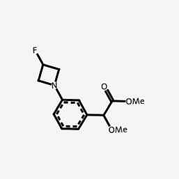 COC(=O)C(OC)c1cccc(N2CC(F)C2)c1